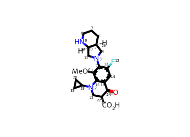 COc1c(N2C[C@@H]3CCCN[C@@H]3C2)c(F)cc2c1N(C1CC1)CC(C(=O)O)C2=O